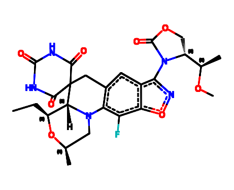 CC[C@@H]1O[C@H](C)CN2c3c(cc4c(N5C(=O)OC[C@@H]5[C@@H](C)OC)noc4c3F)CC3(C(=O)NC(=O)NC3=O)[C@@H]12